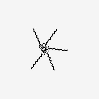 CCCCCCCCCCCCOc1[c]c(OCCCCCCCCCCCC)c(OCCCCCCCCCCCC)c(OCCCCCCCCCCCC)c1OCCCCCCCCCCCC